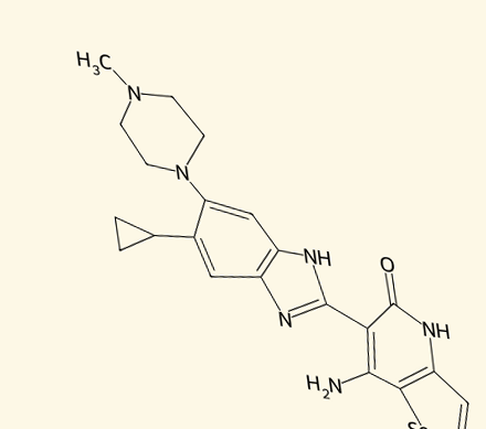 CN1CCN(c2cc3[nH]c(-c4c(N)c5[se]ccc5[nH]c4=O)nc3cc2C2CC2)CC1